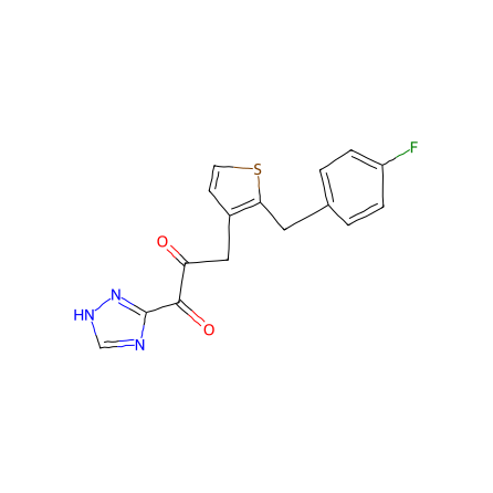 O=C(Cc1ccsc1Cc1ccc(F)cc1)C(=O)c1nc[nH]n1